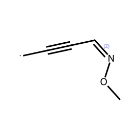 [CH2]C#C/C=N\OC